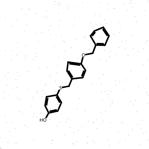 Oc1ccc(SCc2ccc(OCc3ccccc3)cc2)cc1